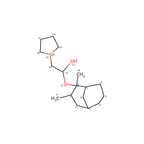 CC1CC2CCCC(C2)C1(C)OC(O)C[SH]1CCCC1